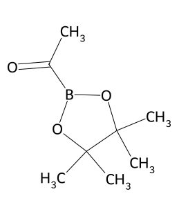 CC(=O)B1OC(C)(C)C(C)(C)O1